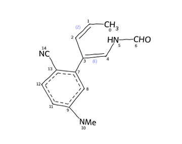 C/C=C\C(=C/NC=O)c1cc(NC)ccc1C#N